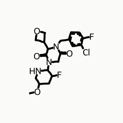 COC1CNC(N2CC(=O)N(Cc3ccc(F)c(Cl)c3)C(C3COC3)C2=O)C(F)C1